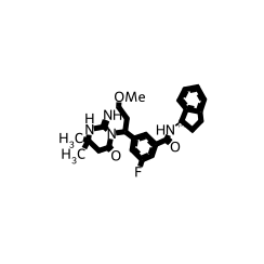 COCCC(c1cc(F)cc(C(=O)N[C@H]2CCc3ccccc32)c1)N1C(=N)NC(C)(C)CC1=O